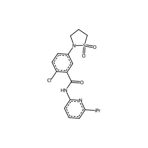 CC(C)c1cccc(NC(=O)c2cc(N3CCCS3(=O)=O)ccc2Cl)n1